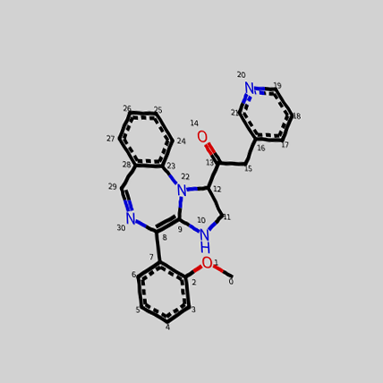 COc1ccccc1C1=C2NCC(C(=O)Cc3cccnc3)N2c2ccccc2C=N1